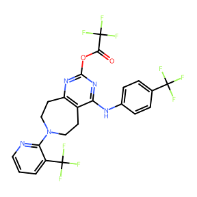 O=C(Oc1nc2c(c(Nc3ccc(C(F)(F)F)cc3)n1)CCN(c1ncccc1C(F)(F)F)CC2)C(F)(F)F